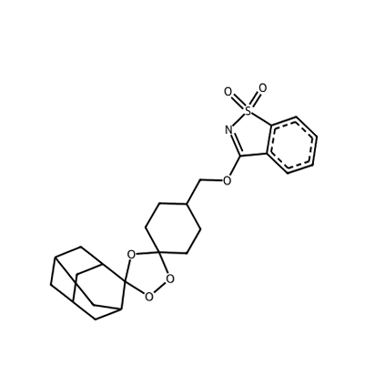 O=S1(=O)N=C(OCC2CCC3(CC2)OOC2(O3)C3CC4CC(C3)CC2C4)c2ccccc21